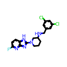 Fc1ccc2[nH]c(N3CCCC(NCc4cc(Cl)cc(Cl)c4)C3)nc2n1